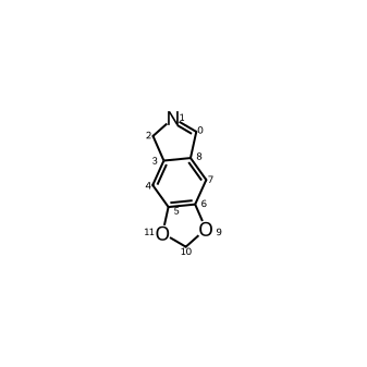 C1=NCc2cc3c(cc21)OCO3